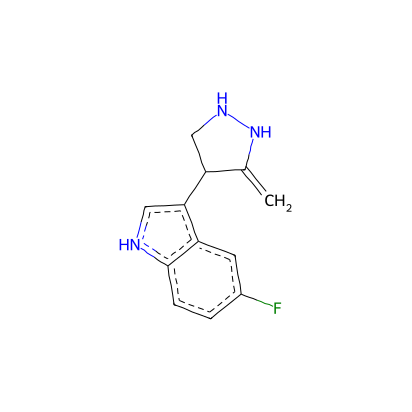 C=C1NNCC1c1c[nH]c2ccc(F)cc12